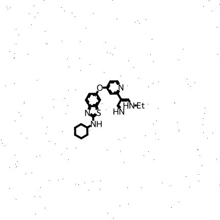 CCN/C=C(\C=N)c1cc(Oc2ccc3nc(NC4CCCCC4)sc3c2)ccn1